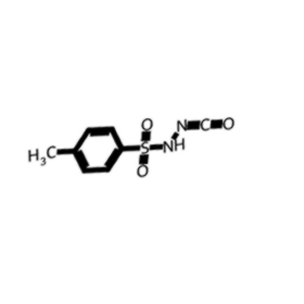 Cc1ccc(S(=O)(=O)NN=C=O)cc1